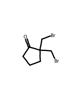 O=C1CCCC1(CBr)CBr